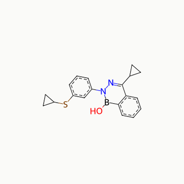 OB1c2ccccc2C(C2CC2)=NN1c1cccc(SC2CC2)c1